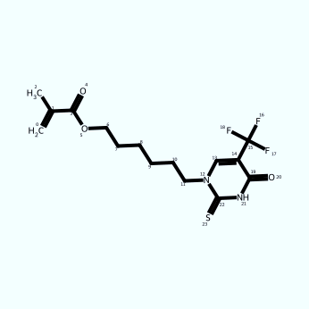 C=C(C)C(=O)OCCCCCCn1cc(C(F)(F)F)c(=O)[nH]c1=S